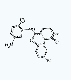 Nc1ccc(Cl)c(Nc2nc3ccc(Br)cc3c3c(=O)[nH]ccc23)c1